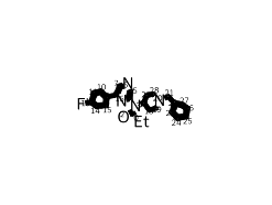 CCC(=O)N(c1cncc(-c2ccc(F)cc2)n1)C1CCN(Cc2ccccc2)CC1